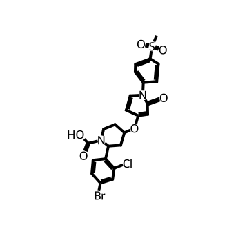 CS(=O)(=O)c1ccc(-n2ccc(OC3CCN(C(=O)O)C(c4ccc(Br)cc4Cl)C3)cc2=O)cc1